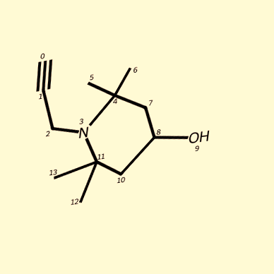 C#CCN1C(C)(C)CC(O)CC1(C)C